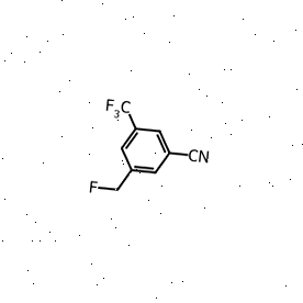 N#Cc1cc(CF)cc(C(F)(F)F)c1